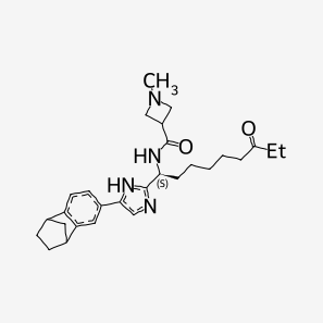 CCC(=O)CCCCC[C@H](NC(=O)C1CN(C)C1)c1ncc(-c2ccc3c(c2)C2CCC3C2)[nH]1